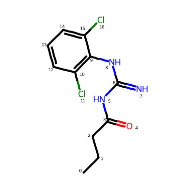 CCCC(=O)NC(=N)Nc1c(Cl)cccc1Cl